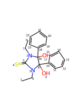 CCN1C(=S)N(CC)C(O)(c2ccccc2)C1(O)c1ccccc1